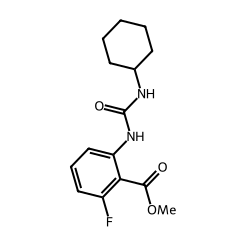 COC(=O)c1c(F)cccc1NC(=O)NC1CCCCC1